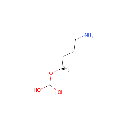 NCCC[SiH2]OC(O)O